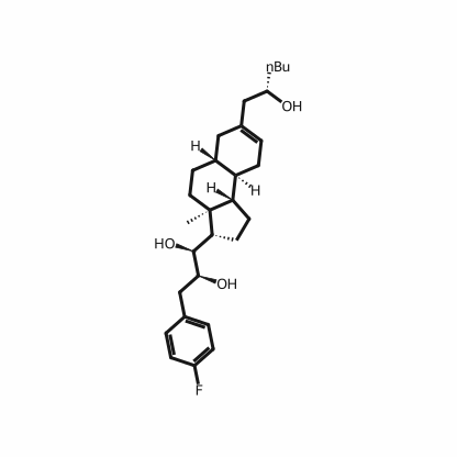 CCCC[C@H](O)CC1=CC[C@@H]2[C@H](CC[C@]3(C)[C@@H]([C@H](O)[C@@H](O)Cc4ccc(F)cc4)CC[C@@H]23)C1